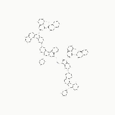 Cc1c(/C=C\Cc2cc3c(c4ccccc24)c2cc(-c4ccc5c(c4)c4c6ccccc6ccc4n5-c4nc5c6c(cccc6n4)Oc4c-5ccc5ccccc45)ccc2n3-c2ccccc2)c2cc(-c3ccc4c(ccc5c4c4ccccc4n5-c4ccccc4)c3)ccc2n1-c1nc2c3c(cccc3n1)Oc1c-2ccc2ccccc12